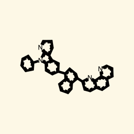 c1ccc(-n2c3ccc(-c4ccc(-c5ccc6ccc7cccnc7c6n5)c5ccccc45)cc3c3cccnc32)cc1